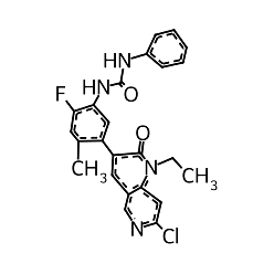 CCn1c(=O)c(-c2cc(NC(=O)Nc3ccccc3)c(F)cc2C)cc2cnc(Cl)cc21